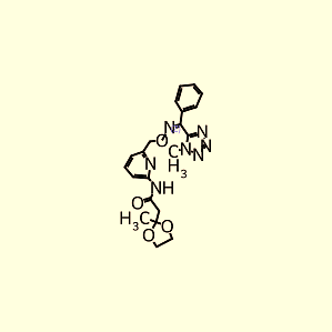 Cn1nnnc1/C(=N\OCc1cccc(NC(=O)CC2(C)OCCO2)n1)c1ccccc1